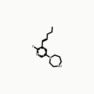 CCCC=Cc1cc(N2CCCNCC2)cnc1F